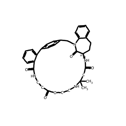 CC1(C)CC(=O)N[C@@H]2CCc3ccccc3N(Cc3ccc(cc3)-c3ccccc3C(=O)NCCC(=O)OCCN1)C2=O